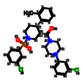 Cc1ccccc1[C@H]1CCN(S(=O)(=O)c2cccc(Cl)c2)C[C@H]1C(=O)N1CCN(c2cccc(Cl)c2)CC1